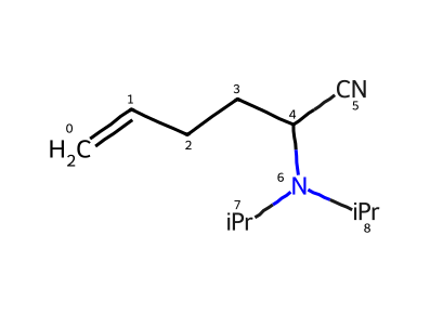 C=CCCC(C#N)N(C(C)C)C(C)C